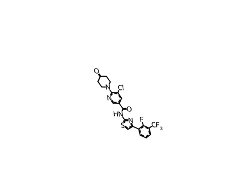 O=C1CCN(c2ncc(C(=O)Nc3nc(-c4cccc(C(F)(F)F)c4F)cs3)cc2Cl)CC1